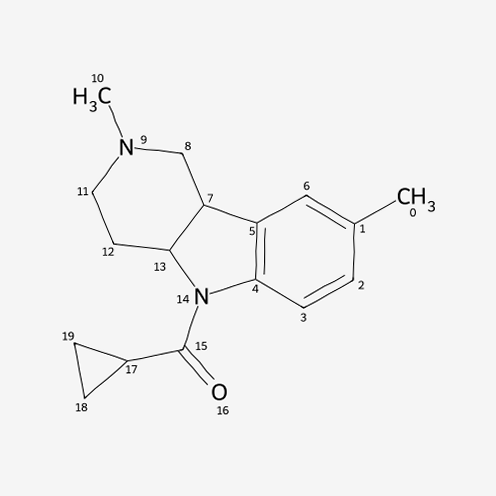 Cc1ccc2c(c1)C1CN(C)CCC1N2C(=O)C1CC1